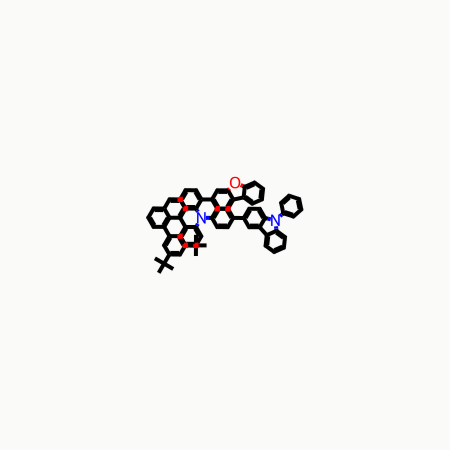 CC(C)(C)c1cc(-c2cccc3cccc(-c4ccccc4N(c4ccc(-c5ccc6c(c5)c5ccccc5n6-c5ccccc5)cc4)c4ccccc4-c4ccc5c(c4)oc4ccccc45)c23)cc(C(C)(C)C)c1